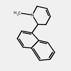 CN1CC=CCC1c1cccc2ccccc12